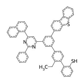 CCc1cc(-c2cc(-c3ccc4c(c3)sc3ccccc34)cc(-c3cc(-c4cccc5ccccc45)nc(-c4ccccc4)n3)c2)ccc1-c1ccccc1S